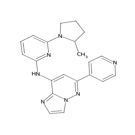 CC1CCCN1c1cccc(Nc2cc(-c3ccncc3)nn3ccnc23)n1